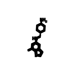 Cc1cc(NC[C@H]2CC[C@H](N)CC2)cc2ccsc12